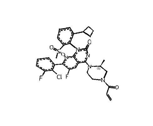 C=CC(=O)N1CCN(c2nc(=O)n(-c3c(C4CCC4)cccc3S(C)(=O)=O)c3nc(-c4cccc(F)c4Cl)c(F)cc23)[C@@H](C)C1